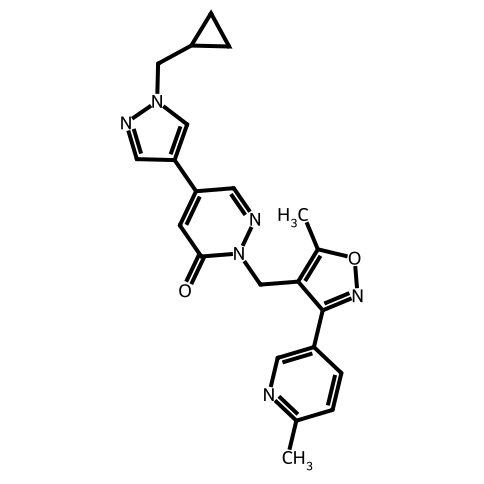 Cc1ccc(-c2noc(C)c2Cn2ncc(-c3cnn(CC4CC4)c3)cc2=O)cn1